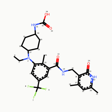 CCN(c1cc(C(F)(F)F)cc(C(=O)NCc2c(C)cc(C)[nH]c2=O)c1C)C1CCC(NC(=O)O)CC1